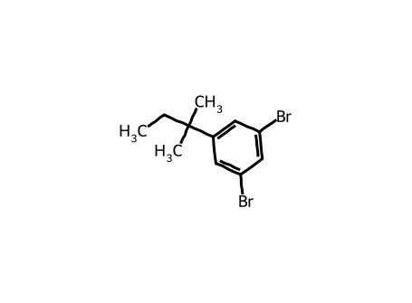 CCC(C)(C)c1cc(Br)cc(Br)c1